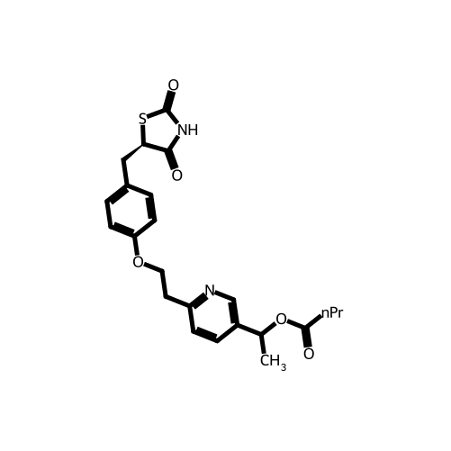 CCCC(=O)OC(C)c1ccc(CCOc2ccc(C[C@H]3SC(=O)NC3=O)cc2)nc1